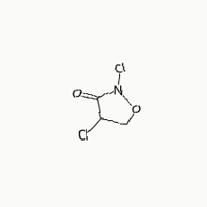 O=C1C(Cl)CON1Cl